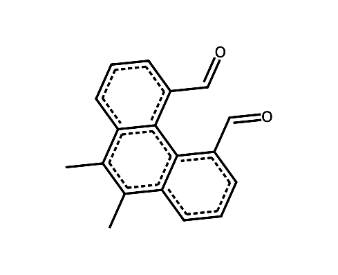 Cc1c(C)c2cccc(C=O)c2c2c(C=O)cccc12